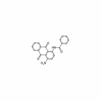 O=C(Nc1ccc([N+](=O)[O-])c2c1C(=O)c1ccccc1C2=O)c1ccccc1